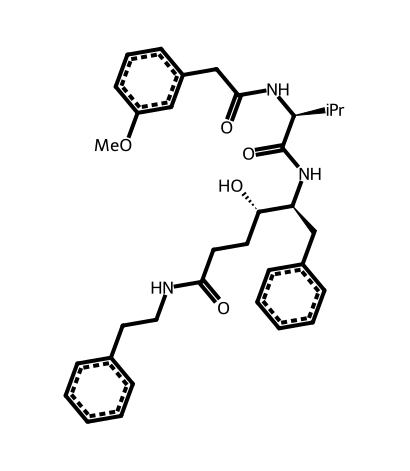 COc1cccc(CC(=O)N[C@H](C(=O)N[C@@H](Cc2ccccc2)[C@@H](O)CCC(=O)NCCc2ccccc2)C(C)C)c1